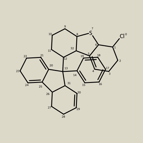 ClC1CCC=C2C1SC1CCCC(C3(c4ccccc4)C4=CCCC=C4C4CCC=CC43)C21